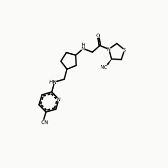 N#Cc1ccc(NCC2CCC(NCC(=O)N3CSC[C@H]3C#N)C2)nc1